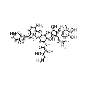 NC[C@@H](O)C(O)C(=O)N[C@@H]1C[C@H](N)[C@@H](O[C@H]2OC(CNCC3(O)CCNCC3)=CC[C@H]2N)[C@H](O[C@@H]2O[C@H](CO)[C@@H](O[C@H]3O[C@@H](CN)[C@@H](O)[C@H](O)[C@H]3N)[C@H]2O)[C@H]1O